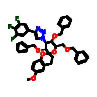 COc1ccc2c(c1)CCC1(O2)O[C@H](COCc2ccccc2)[C@H](OCc2ccccc2)[C@H](n2cc(-c3cc(F)c(F)c(F)c3)nn2)[C@H]1OCc1ccccc1